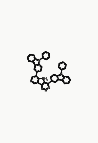 c1ccc(-n2c3ccccc3c3cc(-c4cncc5c4[SiH2]c4c(-c6ccc7c(c6)c6ccccc6n7-c6ccccc6)nnnc4-5)ccc32)cc1